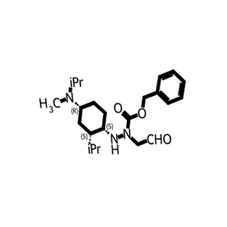 CC(C)[C@@H]1C[C@H](N(C)C(C)C)CC[C@@H]1NN(CC=O)C(=O)OCc1ccccc1